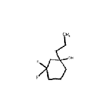 CC[CH]C1(O)CCCC(F)(F)C1